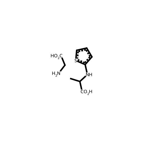 CC(Nc1cccs1)C(=O)O.NCC(=O)O